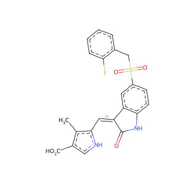 Cc1c(C(=O)O)c[nH]c1/C=C1\C(=O)Nc2ccc(S(=O)(=O)Cc3ccccc3F)cc21